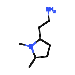 CC1CCC(CCN)N1C